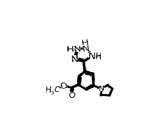 COC(=O)c1cc(C2=NNNN2)cc(N2CCCC2)c1